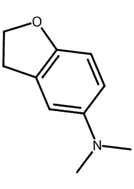 CN(C)c1ccc2c(c1)CCO2